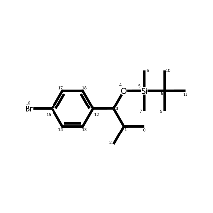 CC(C)C(O[Si](C)(C)C(C)(C)C)c1ccc(Br)cc1